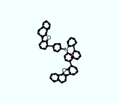 c1ccc(-c2ccccc2N(c2ccc(-c3cccc4c3oc3c5ccccc5ccc43)cc2)c2ccc(-c3cccc4c3oc3c5ccccc5ccc43)cc2)cc1